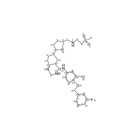 CS(=O)(=O)CCNCC1CCC(C2CCC3=NCNC(Nc4ccc(OCc5cccc(F)c5)c(Cl)c4)C3C2)O1